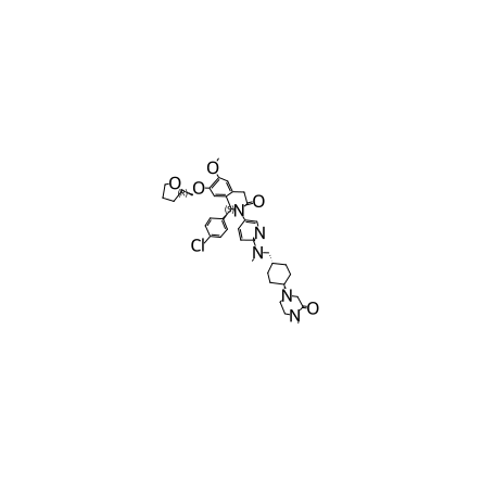 COc1cc2c(cc1OC[C@H]1CCCO1)[C@H](c1ccc(Cl)cc1)N(c1ccc(N(C)C[C@H]3CC[C@H](N4CCN(C)C(=O)C4)CC3)nc1)C(=O)C2